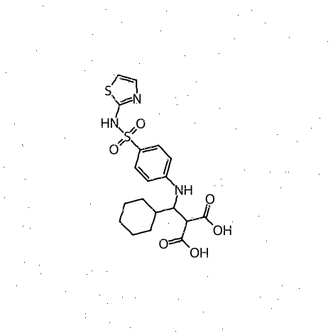 O=C(O)C(C(=O)O)C(Nc1ccc(S(=O)(=O)Nc2nccs2)cc1)C1CCCCC1